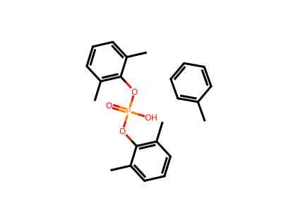 Cc1cccc(C)c1OP(=O)(O)Oc1c(C)cccc1C.Cc1ccccc1